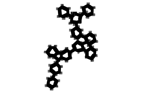 C1=C(c2ccc3c(c2)c2ccccc2c2cccc(-c4cccc(C5=CC(c6ccccc6)NC(c6ccccc6)=N5)c4)c23)C=C2c3ccccc3N(C3=CC=C(c4ccccc4)CC3)C2C1